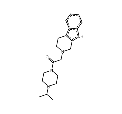 CC(C)N1CCN(C(=O)CN2CCc3c([nH]c4ccccc34)C2)CC1